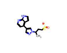 CC([CH]C[SH](=O)=O)n1cc(-c2ccnc3[nH]ccc23)cn1